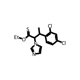 CCOC(=S)C(C(C)c1ccc(Cl)cc1Cl)n1ccnc1